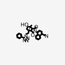 CC12OC(CCn3nnnc3-c3ccccc3)(CC1O)C1C(=O)N(c3ccc(C#N)c4ccccc34)C(=O)C12